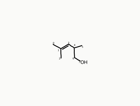 CC(C)=CC(C)CO